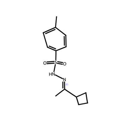 C/C(=N\NS(=O)(=O)c1ccc(C)cc1)C1CCC1